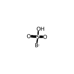 [B]S(=O)(=O)O